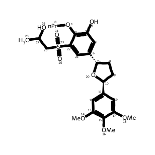 CCCOc1c(O)cc([C@@H]2CC[C@@H](c3cc(OC)c(OC)c(OC)c3)O2)cc1S(=O)(=O)CC(C)O